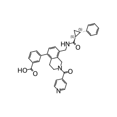 O=C(O)c1cccc(-c2ccc(CNC(=O)[C@H]3C[C@@H]3c3ccccc3)c3c2CCN(C(=O)c2ccncc2)C3)c1